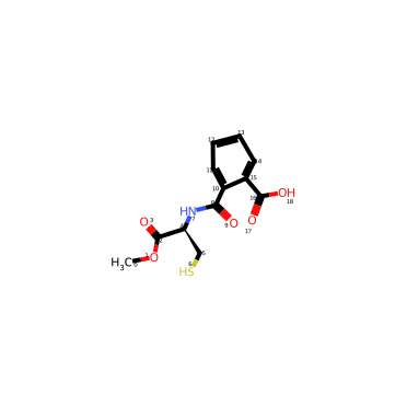 COC(=O)[C@H](CS)NC(=O)c1ccccc1C(=O)O